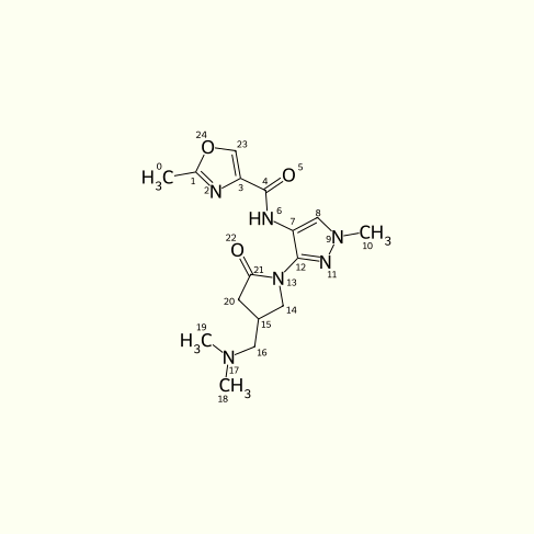 Cc1nc(C(=O)Nc2cn(C)nc2N2CC(CN(C)C)CC2=O)co1